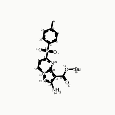 Cc1ccc(S(=O)(=O)c2ccn3nc(N)c(C(=O)OC(C)(C)C)c3n2)cc1